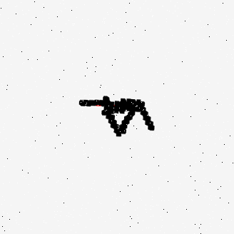 CCCCCCCCCCC(C)CN(CCCN1CCN(CCCN(CC(C)CCCCCCCCCC)CC(CC)CCCCCCCCCC)CC1)CC(C)CCCCCCCCCC